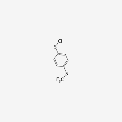 FC(F)(F)Sc1ccc(SCl)cc1